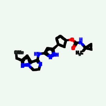 COCc1cc2n(n1)CCN=C2Nc1cc([C@H]2CC[C@@H](OC(=O)NC3(C)CC3)C2)[nH]n1